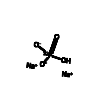 O=[32P]([O-])([O-])O.[Na+].[Na+]